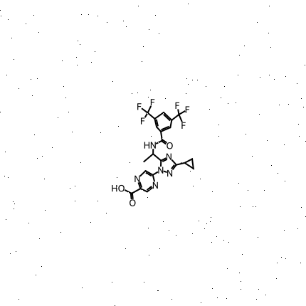 CC(NC(=O)c1cc(C(F)(F)F)cc(C(F)(F)F)c1)c1nc(C2CC2)nn1-c1cnc(C(=O)O)cn1